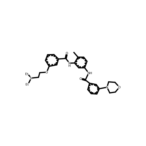 CCN(CC)CCOc1cccc(C(=O)Nc2cc(NC(=O)c3cccc(N4CCOCC4)c3)ccc2C)c1